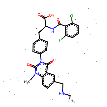 CCNCc1ccc2c(c1)c(=O)n(-c1ccc(C[C@H](NC(=O)c3c(F)cccc3Cl)C(=O)O)cc1)c(=O)n2C